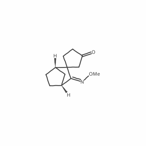 CO/N=C1/[C@@H]2CC[C@@H](C2)C12CCC(=O)C2